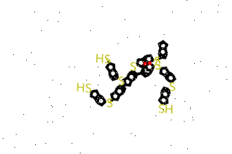 SC1CC2C3CC(SC4CC5C6CC(SC7CC8CC7C7CC(S)CC87)C(C5C4)C6C4=CC5C(C4)C4CC5C(SC5CC6C7CC(SC8CC9CC8C8C=CCC98)C(C7)C6C5)C4C4=CC5CC4C4CC(SC6CC7C8CC(SC9CC%10CC9C9CC(S)CC%109)C(C8)C7C6)C5C4)C(C3)C2C1